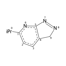 CC(C)c1ccc2c(n1)N=NC2